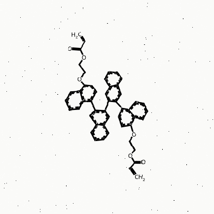 C=CC(=O)OCCOc1ccc(-c2cc3ccccc3cc2-c2cc3ccccc3cc2-c2ccc(OCCOC(=O)C=C)c3ccccc23)c2ccccc12